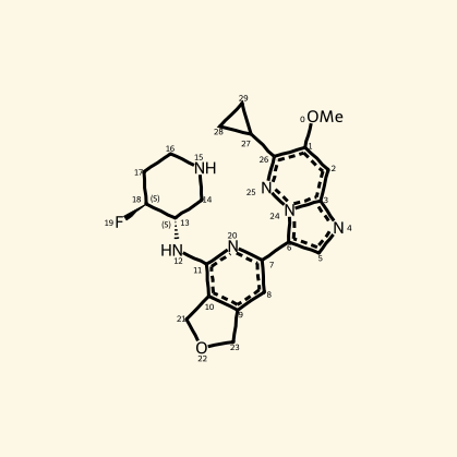 COc1cc2ncc(-c3cc4c(c(N[C@H]5CNCC[C@@H]5F)n3)COC4)n2nc1C1CC1